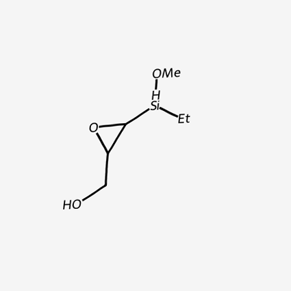 CC[SiH](OC)C1OC1CO